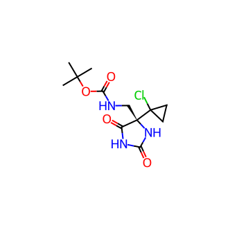 CC(C)(C)OC(=O)NC[C@@]1(C2(Cl)CC2)NC(=O)NC1=O